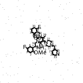 COc1ccc(F)cc1[C@@H](N)Cn1c(=O)c(N2CCN(Cc3cccnc3)CC2)c(C)n(Cc2c(F)cccc2C(F)(F)F)c1=O